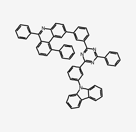 c1ccc(-c2nc(-c3cccc(-c4ccc5nc(-c6ccccc6)c6cccc(-c7ccccc7)c6c5c4)c3)nc(-c3cccc(-n4c5ccccc5c5ccccc54)c3)n2)cc1